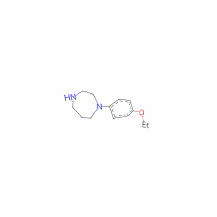 CCOc1ccc(N2CCCNCC2)cc1